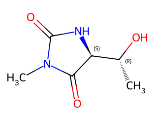 C[C@@H](O)[C@@H]1NC(=O)N(C)C1=O